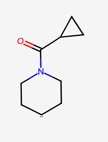 O=C(C1CC1)N1CC[C]CC1